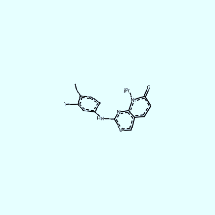 Cc1ccc(Nc2ncc3ccc(=O)n(C(C)C)c3n2)cc1I